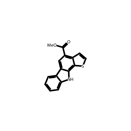 COC(=O)c1cc2c3ccccc3[nH]c2c2sccc12